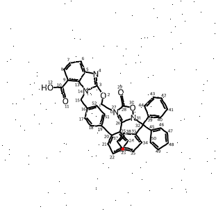 CCOc1nc2cccc(C(=O)O)c2n1Cc1ccc(-c2ccccc2-c2nc(=O)on2C(c2ccccc2)(c2ccccc2)c2ccccc2)cc1